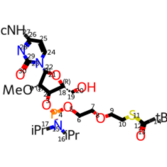 CO[C@H]1C(OP(OCCOCCSC(=O)C(C)(C)C)N(C(C)C)C(C)C)[C@@H](CO)O[C@H]1n1ccc(NC(C)=O)nc1=O